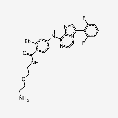 CCc1cc(Nc2nccn3c(-c4c(F)cccc4F)cnc23)ccc1C(=O)NCCOCCN